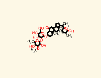 COC1C(O)C(C)OC(OC2C(OC3CCC4(C)C(C3)C(=O)C=C3C4CCC4(C)C3CCC4C(C)C3CCC(C)C(O)O3)OC(CO)C(O)C2O)C1O